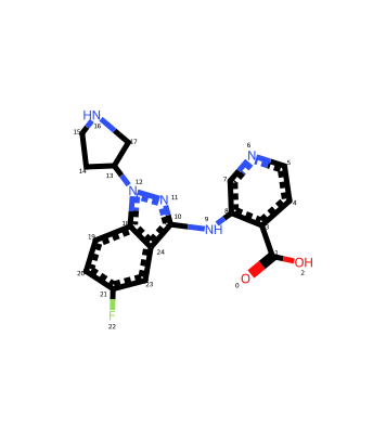 O=C(O)c1ccncc1Nc1nn(C2CCNC2)c2ccc(F)cc12